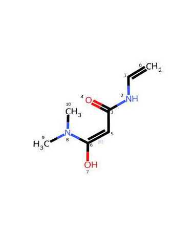 C=CNC(=O)/C=C(/O)N(C)C